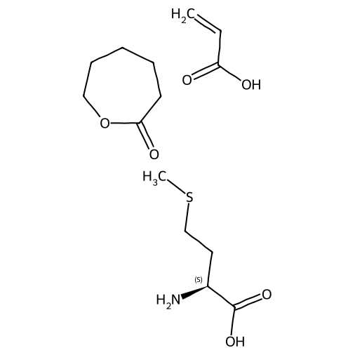 C=CC(=O)O.CSCC[C@H](N)C(=O)O.O=C1CCCCCO1